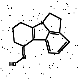 O/N=C1\CCCc2c1c1cccc3c1n2CC3